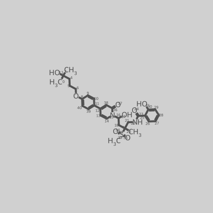 CC(C)(O)CCCOc1ccc(-c2ccn(C(O)CC(C)(CNC(=O)c3ccccc3O)S(C)(=O)=O)c(=O)c2)cc1